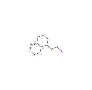 ICCC1CCCC2=CCCCC21